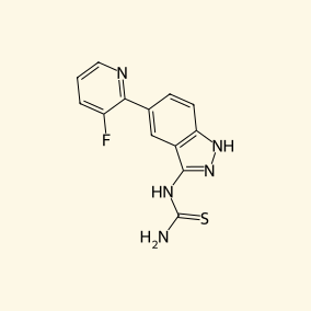 NC(=S)Nc1n[nH]c2ccc(-c3ncccc3F)cc12